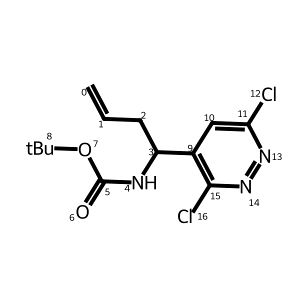 C=CCC(NC(=O)OC(C)(C)C)c1cc(Cl)nnc1Cl